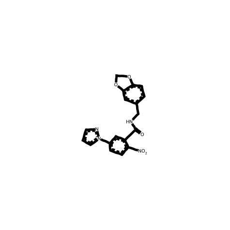 O=C(NCc1ccc2c(c1)OCO2)c1cc(-n2cccn2)ccc1[N+](=O)[O-]